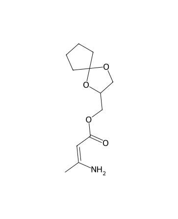 C/C(N)=C/C(=O)OCC1COC2(CCCC2)O1